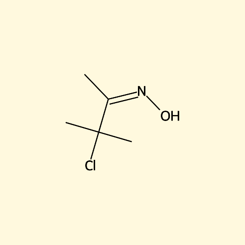 CC(=NO)C(C)(C)Cl